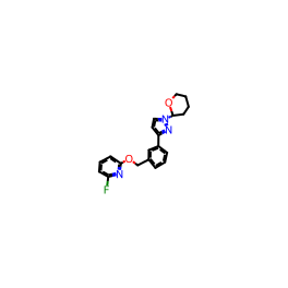 Fc1cccc(OCc2cccc(-c3ccn(C4CCCCO4)n3)c2)n1